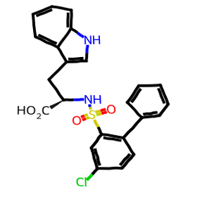 O=C(O)[C@@H](Cc1c[nH]c2ccccc12)NS(=O)(=O)c1cc(Cl)ccc1-c1ccccc1